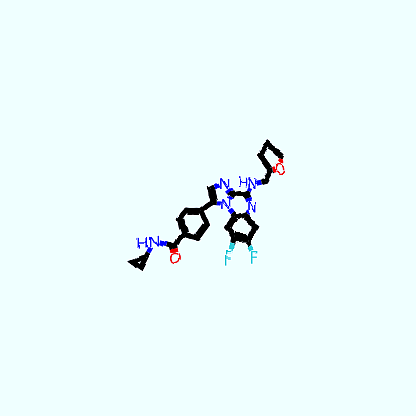 O=C(NC1CC1)c1ccc(-c2cnc3c(NCc4ccco4)nc4cc(F)c(F)cc4n23)cc1